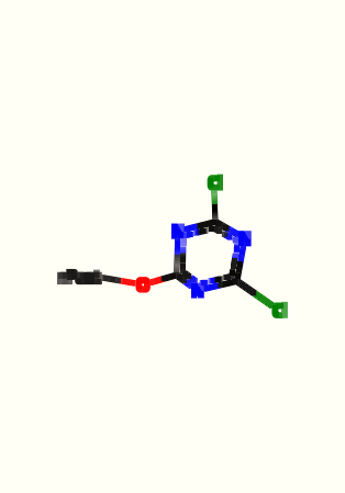 CCCCCOc1nc(Cl)nc(Cl)n1